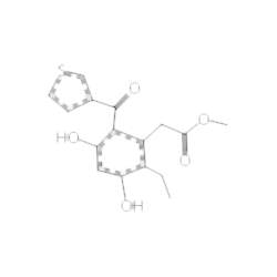 CCc1c(O)cc(O)c(C(=O)c2ccsc2)c1CC(=O)OC